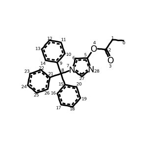 CCC(=O)Oc1cn(C(c2ccccc2)(c2ccccc2)c2ccccc2)cn1